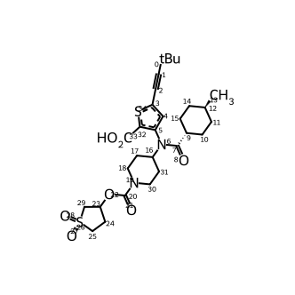 CC(C)(C)C#Cc1cc(N(C(=O)[C@H]2CC[C@H](C)CC2)C2CCN(C(=O)OC3CCS(=O)(=O)C3)CC2)c(C(=O)O)s1